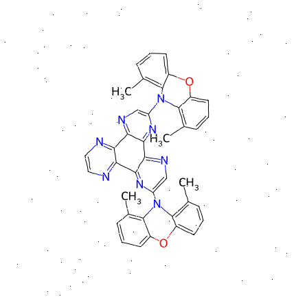 Cc1cccc2c1N(c1cnc3c4nccnc4c4nc(N5c6c(C)cccc6Oc6cccc(C)c65)cnc4c3n1)c1c(C)cccc1O2